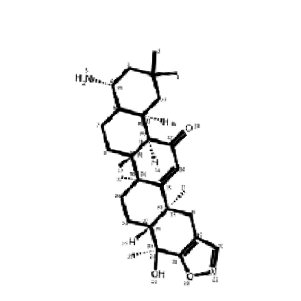 CC1(C)C[C@@H](N)C2CC[C@]3(C)[C@H](C(=O)C=C4[C@@]5(C)Cc6cnoc6[C@@](C)(O)[C@@H]5CC[C@]43C)[C@@H]2C1